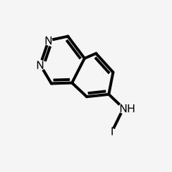 INc1ccc2cnncc2c1